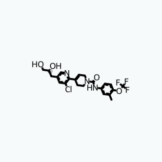 Cc1cc(NC(=O)N2CC=C(c3ncc(C[C@H](O)CO)cc3Cl)CC2)ccc1OC(F)(F)F